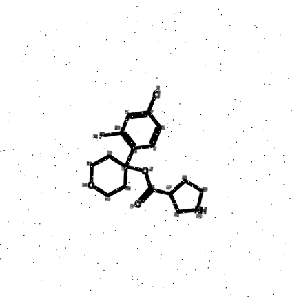 O=C(OC1(c2ccc(Cl)cc2F)CCOCC1)C1CCNC1